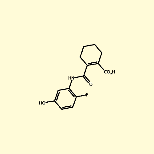 O=C(O)C1=C(C(=O)Nc2cc(O)ccc2F)CCCC1